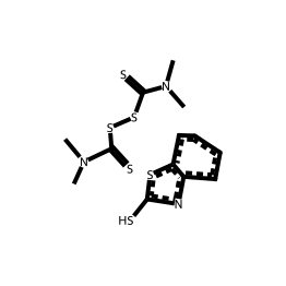 CN(C)C(=S)SSC(=S)N(C)C.Sc1nc2ccccc2s1